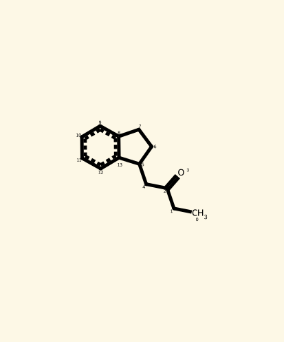 CCC(=O)CC1CCc2ccccc21